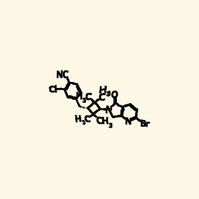 CC1(C)[C@H](Cc2ccc(C#N)c(Cl)c2)C(C)(C)[C@H]1N1Cc2nc(Br)ccc2C1=O